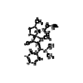 CC1CCC2(C(=O)N([C@H](c3ncccn3)[C@@H](C)O)C2C)N1C(=O)OC(C)(C)C